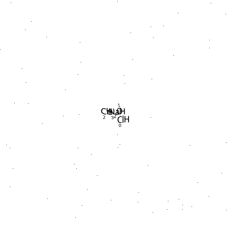 Cl.O.[Ce].[NaH]